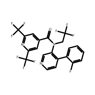 O=C(c1cc(C(F)(F)F)nc(C(F)(F)F)c1)N(CC(F)(F)F)c1cnccc1-c1ccccc1F